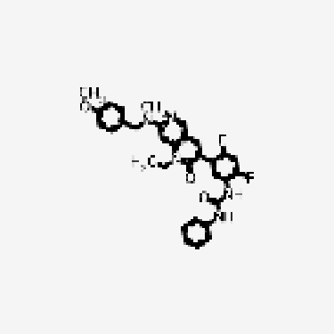 CCn1c(=O)c(-c2cc(NC(=O)Nc3ccccc3)c(F)cc2F)cc2cnc(N(C)Cc3ccc(OC)cc3)cc21